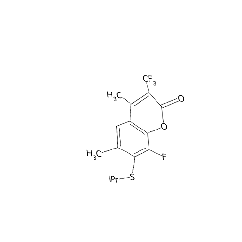 Cc1cc2c(C)c(C(F)(F)F)c(=O)oc2c(F)c1SC(C)C